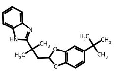 CC(C)(C)c1ccc2c(c1)OC(CC(C)(C)c1nc3ccccc3[nH]1)O2